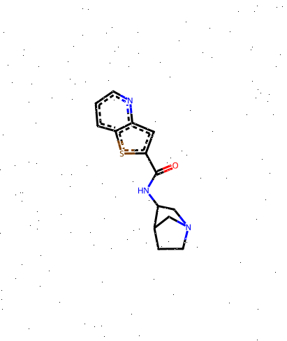 O=C(NC1CN2CCC1C2)c1cc2ncccc2s1